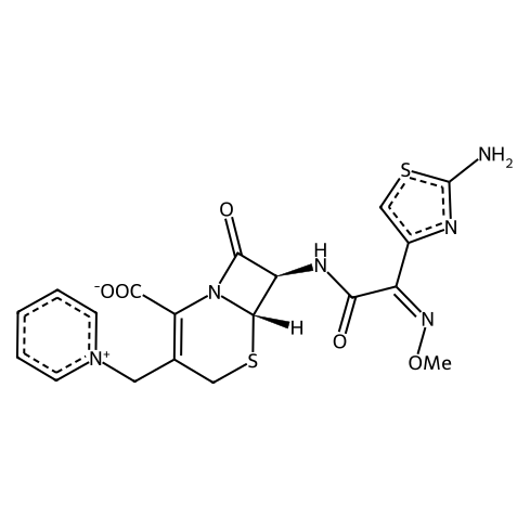 CO/N=C(\C(=O)N[C@@H]1C(=O)N2C(C(=O)[O-])=C(C[n+]3ccccc3)CS[C@@H]12)c1csc(N)n1